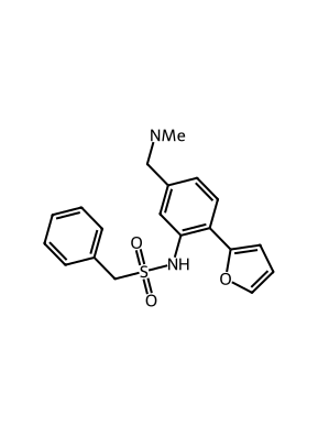 CNCc1ccc(-c2ccco2)c(NS(=O)(=O)Cc2ccccc2)c1